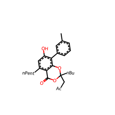 CCCCCc1cc(O)c(-c2cccc(C)c2)c2c1C(=O)OC(CCCC)(CC(C)=O)O2